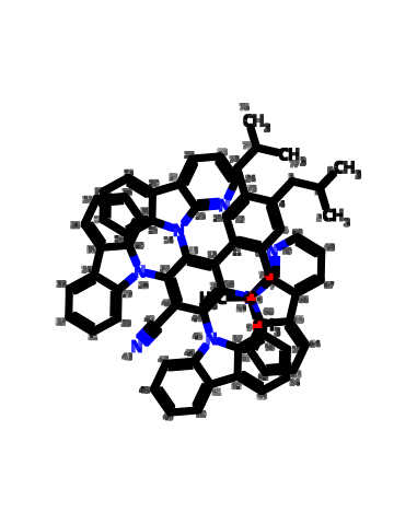 CC(C)Cc1cc(CC(C)C)c(-c2c(-n3c4ccccc4c4cccnc43)c(-n3c4ccccc4c4ccccc43)c(C#N)c(-n3c4ccccc4c4ccccc43)c2-n2c3ccccc3c3cccnc32)cc1CC(C)C